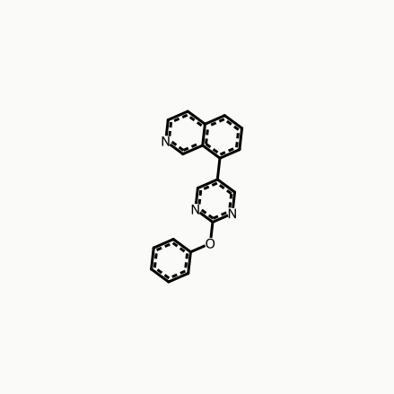 c1ccc(Oc2ncc(-c3cccc4ccncc34)cn2)cc1